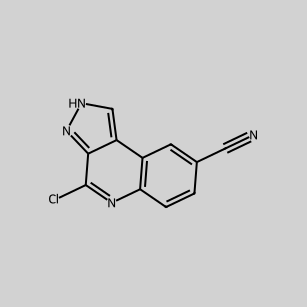 N#Cc1ccc2nc(Cl)c3n[nH]cc3c2c1